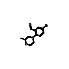 C[C@H]1CN(c2ccc(Br)cc2C=O)CCO1